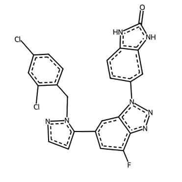 O=c1[nH]c2ccc(-n3nnc4c(F)cc(-c5ccnn5Cc5ccc(Cl)cc5Cl)cc43)cc2[nH]1